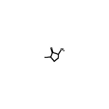 CN1CCC(C(F)(F)F)C1=O